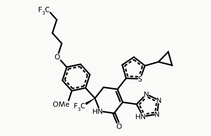 COc1cc(OCCCC(F)(F)F)ccc1[C@]1(C(F)(F)F)CC(c2ccc(C3CC3)s2)=C(c2nnn[nH]2)C(=O)N1